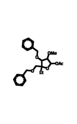 CCC1(COCc2ccccc2)OC(OC(C)=O)C(OC)C1OCc1ccccc1